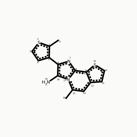 Cc1sccc1-c1nc2c3sccc3cc(C)n2c1N